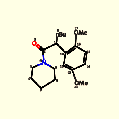 CCCCC(C(=O)N1CCCCC1)c1cc(OC)ccc1OC